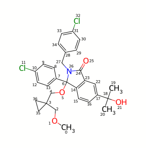 COCC1(COC2(c3ccc(Cl)cc3)c3ccc(C(C)(C)O)cc3C(=O)N2Cc2ccc(Cl)cc2)CC1